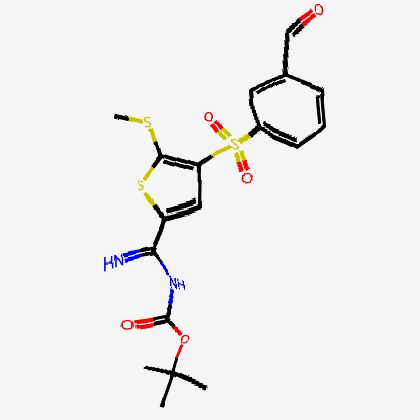 CSc1sc(C(=N)NC(=O)OC(C)(C)C)cc1S(=O)(=O)c1cccc(C=O)c1